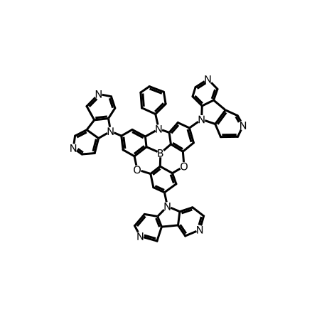 c1ccc(N2c3cc(-n4c5ccncc5c5cnccc54)cc4c3B3c5c(cc(-n6c7ccncc7c7cnccc76)cc5Oc5cc(-n6c7ccncc7c7cnccc76)cc2c53)O4)cc1